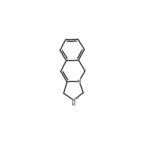 C1=C2CNCN2Cc2ccccc21